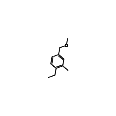 CCc1ccc(COC)cc1C